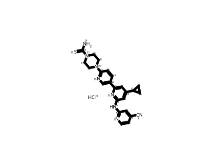 Cl.N#Cc1ccnc(Nc2cc(C3CC3)cc(-c3ccc(N4CCN(C(N)=S)CC4)nc3)n2)c1